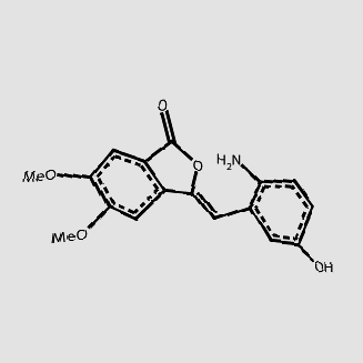 COc1cc2c(cc1OC)/C(=C/c1cc(O)ccc1N)OC2=O